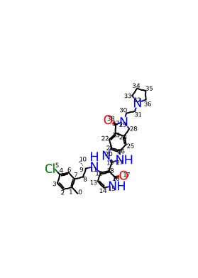 Cc1ccc(Cl)cc1C[C@H](C)Nc1cc[nH]c(=O)c1-c1nc2cc3c(cc2[nH]1)CN(CCN1CCCC1)C3=O